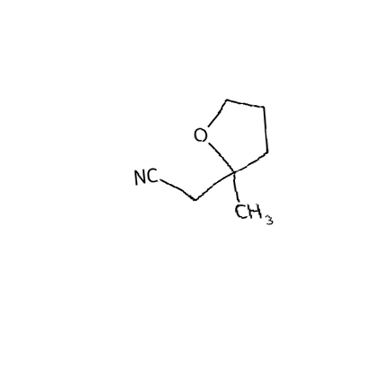 CC1(CC#N)CCCO1